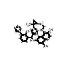 Cc1c(C(Nc2cc(C#N)c3ncc(C#N)c(NCC(C)(C)C)c3c2)c2cn(C3(C(F)(F)F)CC3)nn2)cccc1-n1cnnn1